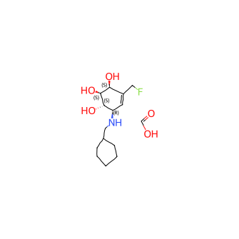 O=CO.O[C@@H]1[C@@H](O)[C@@H](O)C(CF)=C[C@H]1NCC1CCCCC1